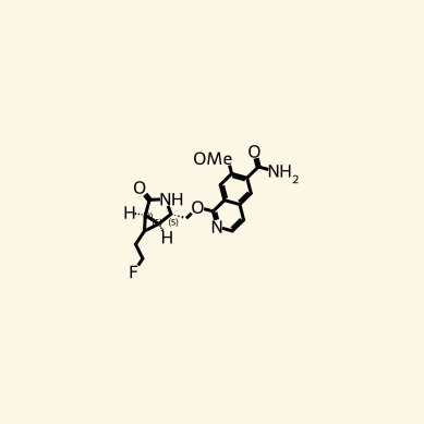 COc1cc2c(OC[C@H]3NC(=O)[C@@H]4C(CCF)[C@@H]43)nccc2cc1C(N)=O